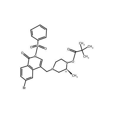 C[C@H]1CN(Cc2cn(S(=O)(=O)c3ccccc3)c(=O)c3ccc(Br)cc23)CCN1OC(=O)C(C)(C)C